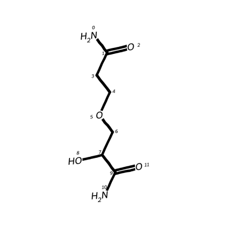 NC(=O)CCOCC(O)C(N)=O